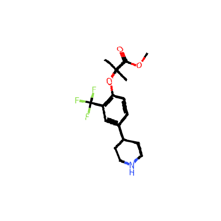 COC(=O)C(C)(C)Oc1ccc(C2CCNCC2)cc1C(F)(F)F